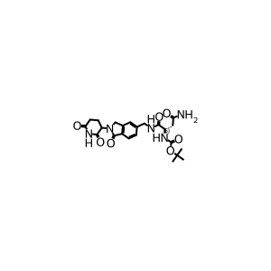 CC(C)(C)OC(=O)N[C@@H](CC(N)=O)C(=O)NCc1ccc2c(c1)CN(C1CCC(=O)NC1=O)C2=O